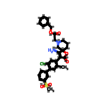 Cc1cc(-c2cccc(S(C)(=O)=O)c2)c(Cl)cc1C1=C(N)C2(CCCN(CC(=O)OCc3ccccc3)C2)OC1=O